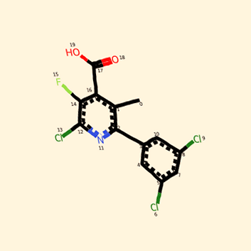 Cc1c(-c2cc(Cl)cc(Cl)c2)nc(Cl)c(F)c1C(=O)O